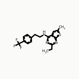 CCc1nc(NCCc2ccc(C(F)(F)F)cc2)c2cc(C)sc2n1